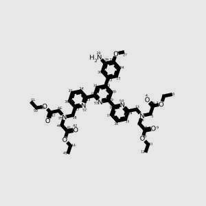 CCOC(=O)CN(CC(=O)OCC)Cc1cccc(-c2cc(-c3ccc(OC)c(N)c3)cc(-c3cccc(CN(CC(=O)OCC)CC(=O)OCC)n3)n2)n1